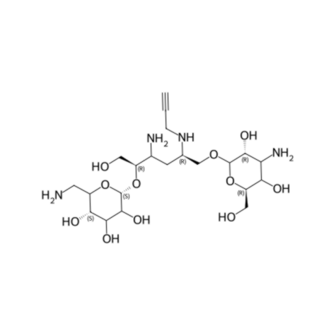 C#CCN[C@@H](COC1O[C@H](CO)C(O)C(N)[C@H]1O)CC(N)[C@H](CO)O[C@H]1OC(CN)[C@@H](O)C(O)C1O